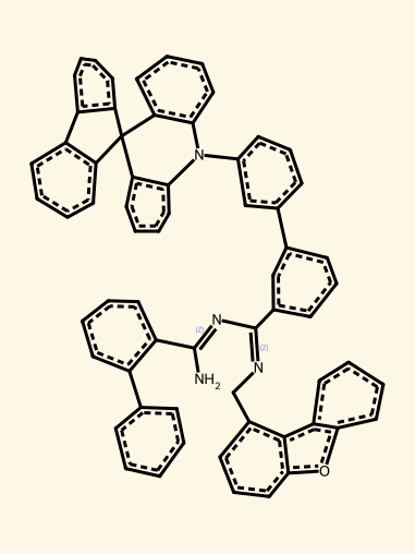 N/C(=N\C(=N/Cc1cccc2oc3ccccc3c12)c1cccc(-c2cccc(N3c4ccccc4C4(c5ccccc5-c5ccccc54)c4ccccc43)c2)c1)c1ccccc1-c1ccccc1